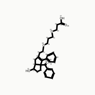 C=C(c1ccccc1)C12CCC(O)C1CC(CCOCCCOCCC(=O)O)=C2c1ccccc1